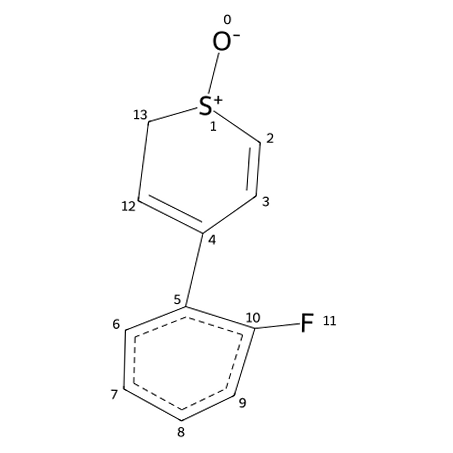 [O-][S+]1C=CC(c2ccccc2F)=CC1